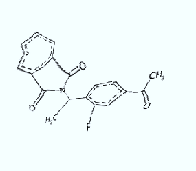 CC(=O)c1ccc(C(C)N2C(=O)c3ccccc3C2=O)c(F)c1